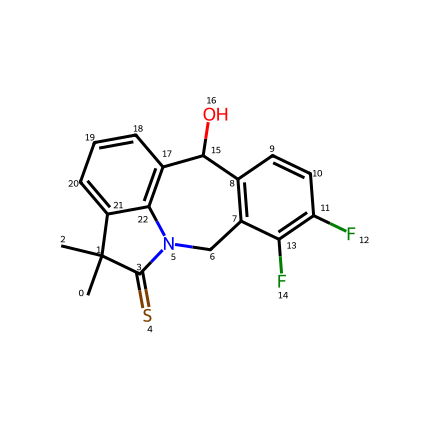 CC1(C)C(=S)N2Cc3c(ccc(F)c3F)C(O)c3cccc1c32